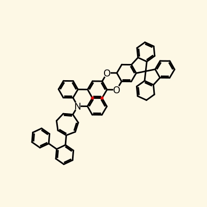 C1=CC2=C(CC1)c1ccccc1C21C2=C(CC3Oc4cc(-c5ccccc5N(C5=CCC=C(c6ccccc6-c6ccccc6)C=C5)c5ccccc5)ccc4OC3=C2)c2ccccc21